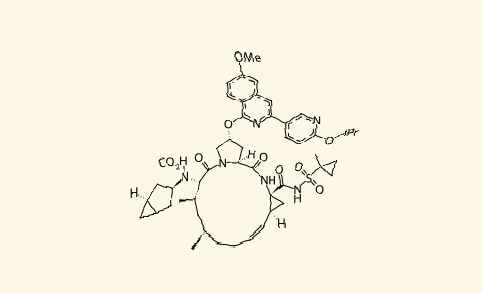 COc1ccc2c(O[C@@H]3C[C@H]4C(=O)N[C@]5(C(=O)NS(=O)(=O)C6(C)CC6)C[C@H]5/C=C\CC[C@@H](C)C[C@@H](C)[C@H](N(C(=O)O)[C@H]5CC6C[C@H]6C5)C(=O)N4C3)nc(-c3ccc(OC(C)C)nc3)cc2c1